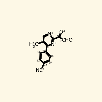 Cc1cnc(C(=O)C=O)nc1-c1ccc(C#N)cc1